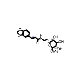 COC1O[C@H](CCNC(=O)/C=C/c2ccc3c(c2)OCO3)[C@@H](O)C(O)[C@@H]1O